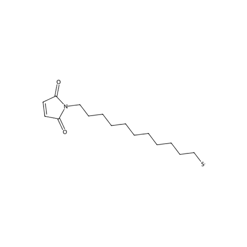 O=C1C=CC(=O)N1CCCCCCCCCCC[S]